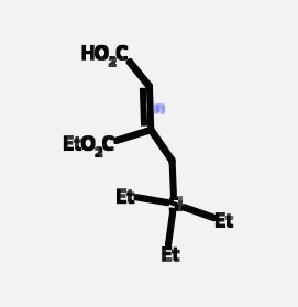 CCOC(=O)/C(=C\C(=O)O)C[Si](CC)(CC)CC